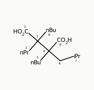 CCCCC(CCC)(C(=O)O)C(CCCC)(CC(C)C)C(=O)O